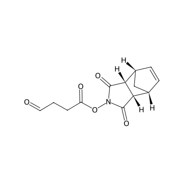 O=CCCC(=O)ON1C(=O)[C@@H]2[C@H](C1=O)[C@@H]1C=C[C@H]2C1